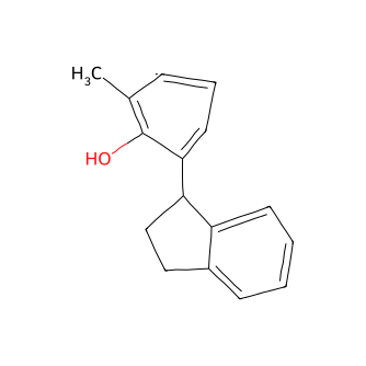 Cc1[c]ccc(C2CCc3ccccc32)c1O